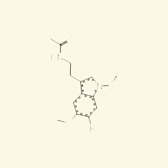 COc1cc2c(CCNC(C)=O)cn(SI)c2cc1F